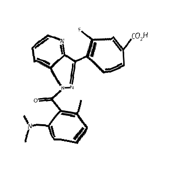 Cc1cccc(N(C)C)c1C(=O)n1nc(-c2ccc(C(=O)O)cc2F)c2ncccc21